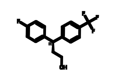 OCC[C@@H](c1ccc(F)cc1)c1ccc(C(F)(F)F)cc1